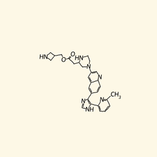 Cc1cccc(-c2[nH]cnc2-c2ccc3ncc(N4CCNC(CC(=O)OCC5CNC5)C4)cc3c2)n1